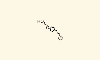 OCCCOc1ccc(CCCN2CCCC2)cc1